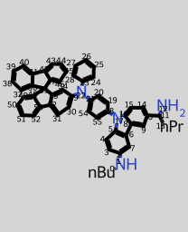 CCCCNc1ccc2c(c1)c1cc(C(N)CCC)ccc1n2-c1ccc(N(c2ccccc2)c2ccc3c(c2)C2(c4ccccc4-c4ccccc42)c2ccccc2-3)cc1